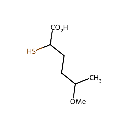 COC(C)CCC(S)C(=O)O